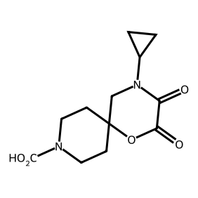 O=C1OC2(CCN(C(=O)O)CC2)CN(C2CC2)C1=O